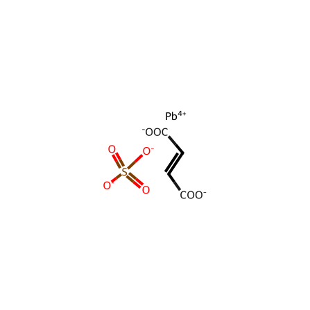 O=C([O-])C=CC(=O)[O-].O=S(=O)([O-])[O-].[Pb+4]